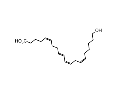 O=C(O)CCC/C=C\CC/C=C/C=C\C/C=C\CCCCCO